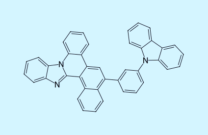 c1cc(-c2cc3c4ccccc4n4c5ccccc5nc4c3c3ccccc23)cc(-n2c3ccccc3c3ccccc32)c1